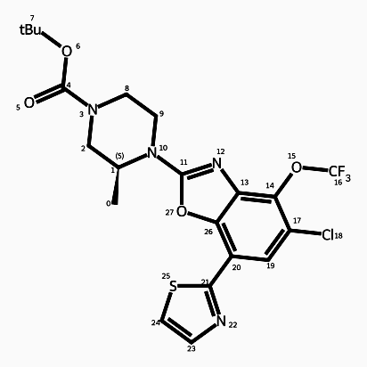 C[C@H]1CN(C(=O)OC(C)(C)C)CCN1c1nc2c(OC(F)(F)F)c(Cl)cc(-c3nccs3)c2o1